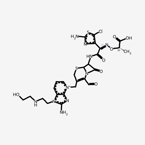 C[C@H](O/N=C(\C(=O)NC1C(=O)N2C(C=O)=C(C[n+]3cccc4c3nc(N)n4CCNCCO)CSC12)c1nc(N)sc1Cl)C(=O)O